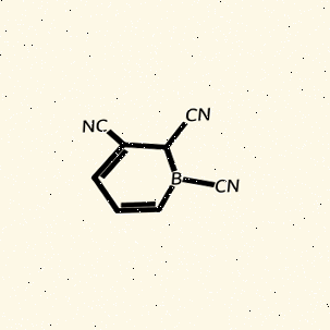 N#CB1C=CC=C(C#N)C1C#N